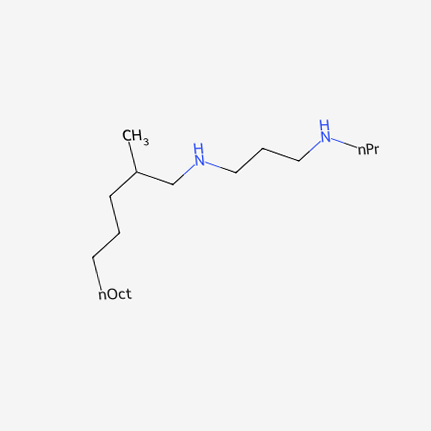 CCCCCCCCCCCC(C)CNCCCNCCC